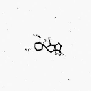 C=C1CCC2[C@H](CC)C([C@@]3(C)CC[C@H](C)C[C@@H]3COC(C)=O)CC[C@]12C